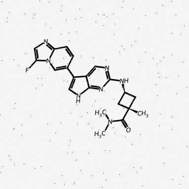 CN(C)C(=O)[C@]1(C)C[C@@H](Nc2ncc3c(-c4ccc5ncc(F)n5c4)c[nH]c3n2)C1